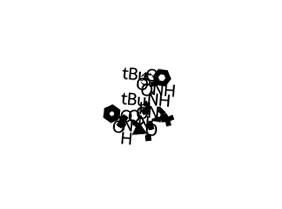 C=C[C@@H]1C[C@]1(NC(=O)[C@@H]1C2C(CN1C(=O)[C@@H](NC(=O)NC1(CS(=O)(=O)C(C)(C)C)CCCCC1)C(C)(C)C)C2(C)C)C(=O)NS(=O)(=O)c1ccccc1